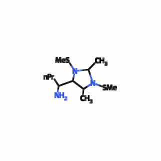 CCCC(N)C1C(C)N(SC)C(C)N1SC